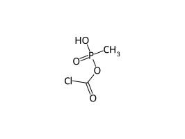 CP(=O)(O)OC(=O)Cl